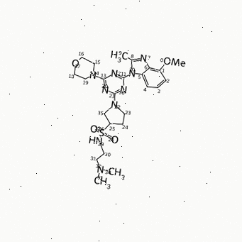 COc1cccc2c1nc(C)n2-c1nc(N2CCOCC2)nc(N2CCC(S(=O)(=O)NCCN(C)C)C2)n1